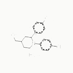 Cc1ccc(C2CC(CO)CCN2c2ccc(C)cc2)cc1.Cl